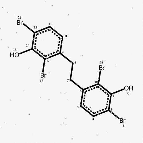 Oc1c(Br)ccc(CCc2ccc(Br)c(O)c2Br)c1Br